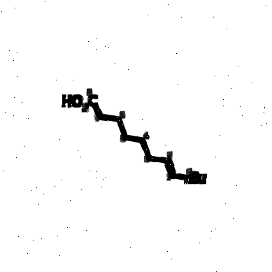 CCCC/C=C/CCCCCC(=O)O